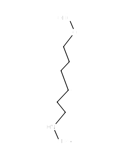 CCCCCCNCCCCCCOC=O